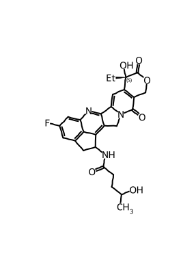 CC[C@@]1(O)C(=O)OCc2c1cc1n(c2=O)Cc2c-1nc1cc(F)cc3c1c2C(NC(=O)CCC(C)O)C3